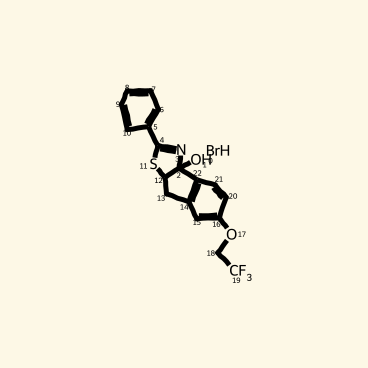 Br.OC12N=C(c3ccccc3)SC1Cc1cc(OCC(F)(F)F)ccc12